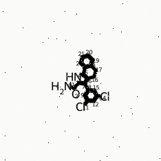 NC(=O)c1[nH]c2c(c1-c1cc(Cl)cc(Cl)c1)CCc1ccccc1-2